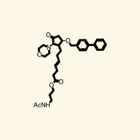 CC(=O)NCCCOC(=O)CCC=CCCC1[C@@H](OCc2ccc(-c3ccccc3)cc2)CC(=O)[C@@H]1N1CCOCC1